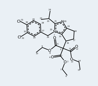 CCOC(=O)C(C(=O)OCC)(C(=O)OCC)C1CCc2nc(C(C)C)n(Cc3ccc(Cl)c(Cl)c3)c21